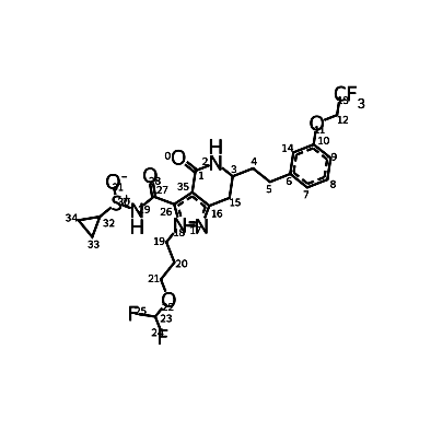 O=C1NC(CCc2cccc(OCC(F)(F)F)c2)Cc2nn(CCCOC(F)F)c(C(=O)N[S+]([O-])C3CC3)c21